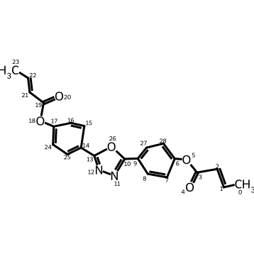 CC=CC(=O)Oc1ccc(-c2nnc(-c3ccc(OC(=O)C=CC)cc3)o2)cc1